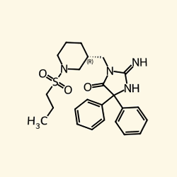 CCCS(=O)(=O)N1CCC[C@H](CN2C(=N)NC(c3ccccc3)(c3ccccc3)C2=O)C1